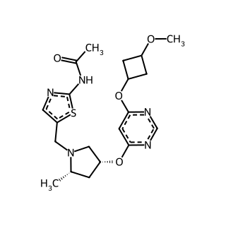 COC1CC(Oc2cc(O[C@@H]3C[C@H](C)N(Cc4cnc(NC(C)=O)s4)C3)ncn2)C1